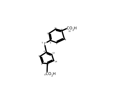 O=C(O)c1ccc([I+]c2ccc(C(=O)O)cc2)cc1